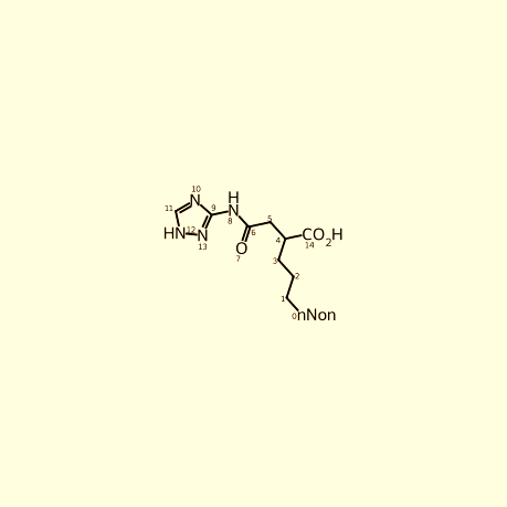 CCCCCCCCCCCCC(CC(=O)Nc1nc[nH]n1)C(=O)O